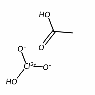 CC(=O)O.[O-][Cl+2]([O-])O